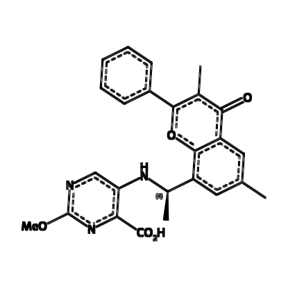 COc1ncc(N[C@H](C)c2cc(C)cc3c(=O)c(C)c(-c4ccccc4)oc23)c(C(=O)O)n1